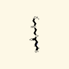 CCCNCCOC(=O)/C=C/C=O